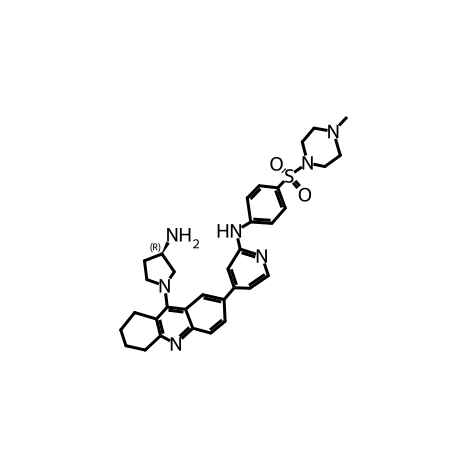 CN1CCN(S(=O)(=O)c2ccc(Nc3cc(-c4ccc5nc6c(c(N7CC[C@@H](N)C7)c5c4)CCCC6)ccn3)cc2)CC1